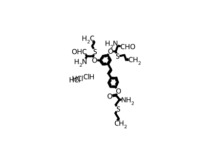 C=CCSCC(N)C(=O)Oc1ccc(C=Cc2cc(OC(SCC=C)C(N)C=O)cc(OC(SCC=C)C(N)C=O)c2)cc1.Cl.Cl.Cl